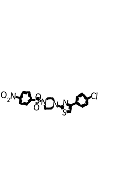 O=[N+]([O-])c1ccc(S(=O)(=O)N2CCN(c3nc(-c4ccc(Cl)cc4)cs3)CC2)cc1